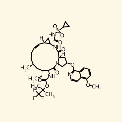 CC[C@@H]1C[C@@H](C)CCC=C[C@@H]2C[C@@]2(C(=O)NS(=O)(=O)C2CC2)NC(=O)[C@@H]2C[C@@H](Oc3nccc4c(OC)cccc34)CN2C(=O)[C@H]1NC(=O)OC(C)(C)C(F)(F)F